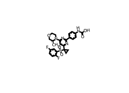 C[C@H]1COCCN1c1cc(C2(S(=O)(=O)c3cc(F)ccc3F)CC2)nc(-c2ccc(NC(=O)O)cc2)n1